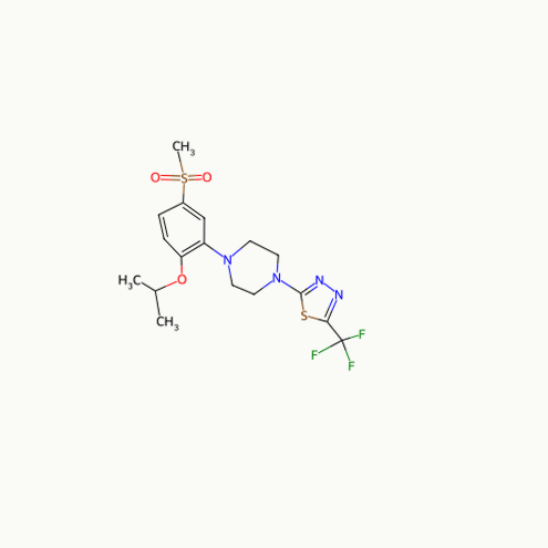 CC(C)Oc1ccc(S(C)(=O)=O)cc1N1CCN(c2nnc(C(F)(F)F)s2)CC1